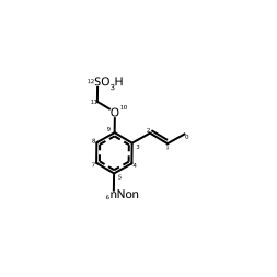 C/C=C/c1cc(CCCCCCCCC)ccc1OCS(=O)(=O)O